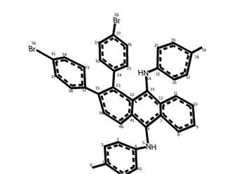 Cc1ccc(Nc2c3ccccc3c(Nc3ccc(C)cc3)c3c(-c4ccc(Br)cc4)c(-c4ccc(Br)cc4)ccc23)cc1